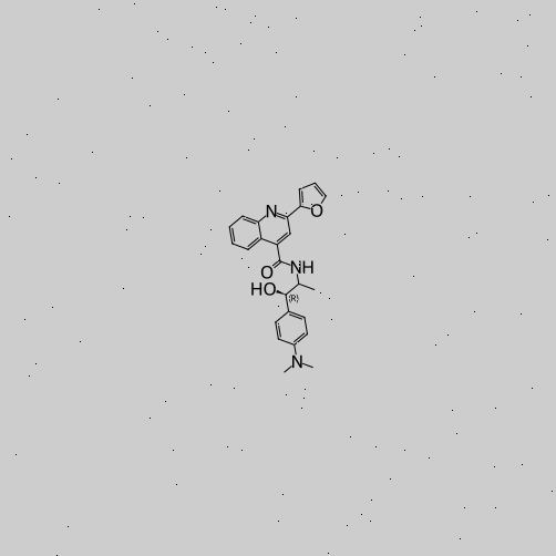 CC(NC(=O)c1cc(-c2ccco2)nc2ccccc12)[C@H](O)c1ccc(N(C)C)cc1